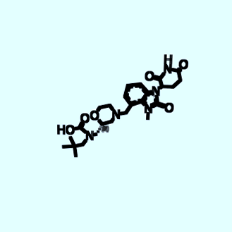 Cn1c(=O)n(C2CCC(=O)NC2=O)c2cccc(CN3CCO[C@@H](CN(CC(C)(C)C)C(=O)O)C3)c21